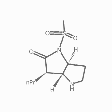 CCC[C@H]1C(=O)N(S(C)(=O)=O)[C@H]2CCN[C@H]12